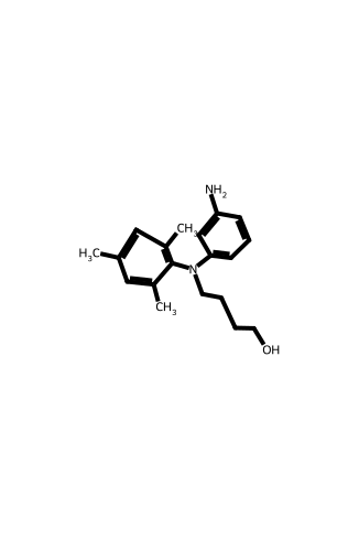 Cc1cc(C)c(N(CCCCO)c2cccc(N)c2)c(C)c1